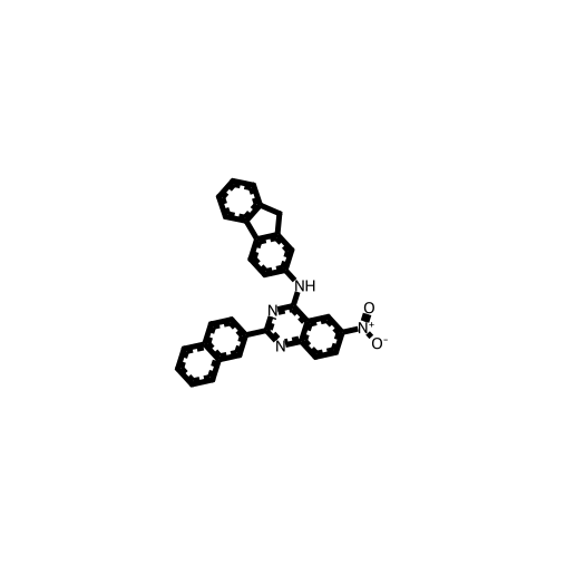 O=[N+]([O-])c1ccc2nc(-c3ccc4ccccc4c3)nc(Nc3ccc4c(c3)Cc3ccccc3-4)c2c1